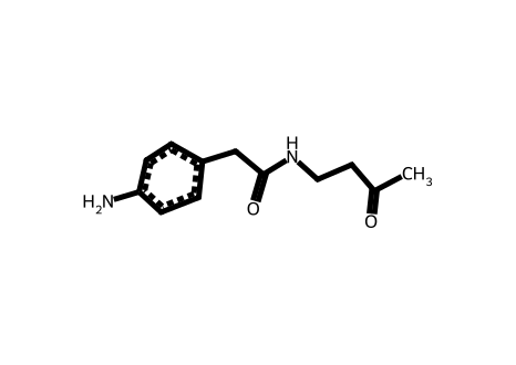 CC(=O)CCNC(=O)Cc1ccc(N)cc1